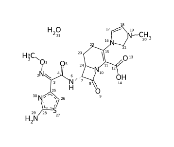 CO/N=C(\C(=O)N[C@H]1C(=O)N2C(C(=O)O)=C(N3C=CN(C)C3)CCC12)c1csc(N)n1.O